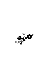 CS(=O)(=O)Nc1nc(-c2ccc(F)cc2)oc1-c1ccsc1.[NaH]